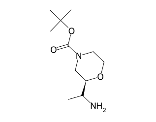 CC(N)[C@H]1CN(C(=O)OC(C)(C)C)CCO1